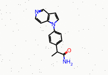 CC(C(N)=O)c1ccc(-n2ccc3cnccc32)cc1